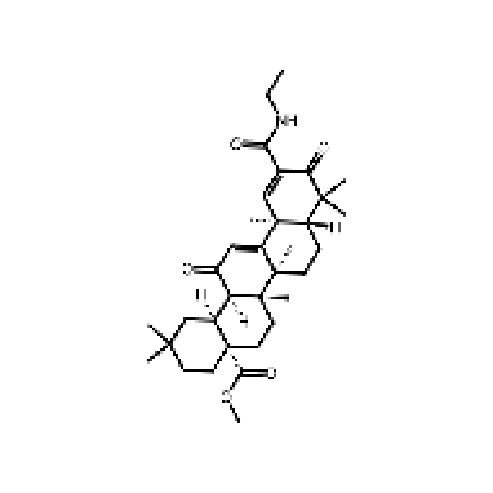 CCNC(=O)C1=C[C@]2(C)C3=CC(=O)[C@@H]4[C@@H]5CC(C)(C)CC[C@]5(C(=O)OC)CC[C@@]4(C)[C@]3(C)CC[C@H]2C(C)(C)C1=O